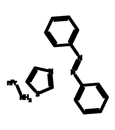 CCCN.c1ccc(N=Nc2ccccc2)cc1.c1cscn1